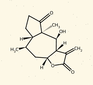 C=C1C(=O)O[C@@H]2C[C@@H](C)[C@@H]3CCC(=O)[C@@]3(C)[C@@H](O)[C@H]12